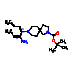 C=C/C=C(\C(N)=C/C)N1CCC2(CCN(C(=O)OC(C)(C)C)C2)CC1